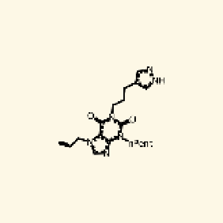 C=CCn1cnc2c1c(=O)n(CCCc1cn[nH]c1)c(=O)n2CCCCC